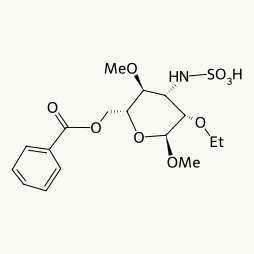 CCO[C@@H]1[C@@H](OC)O[C@H](COC(=O)c2ccccc2)[C@@H](OC)[C@@H]1NS(=O)(=O)O